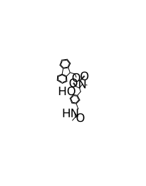 CC(=O)NCc1cccc(CC(C(=O)O)N(C)C(=O)OCC2c3ccccc3-c3ccccc32)c1